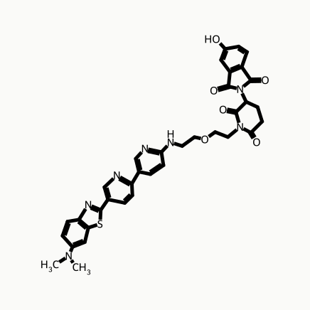 CN(C)c1ccc2nc(-c3ccc(-c4ccc(NCCOCCN5C(=O)CCC(N6C(=O)c7ccc(O)cc7C6=O)C5=O)nc4)nc3)sc2c1